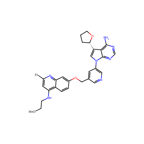 CCc1cc(NCCOC)c2ccc(OCc3cncc(-n4cc([C@@H]5CCCO5)c5c(N)ncnc54)c3)cc2n1